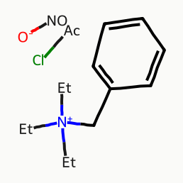 CC(=O)Cl.CC[N+](CC)(CC)Cc1ccccc1.O=N[O-]